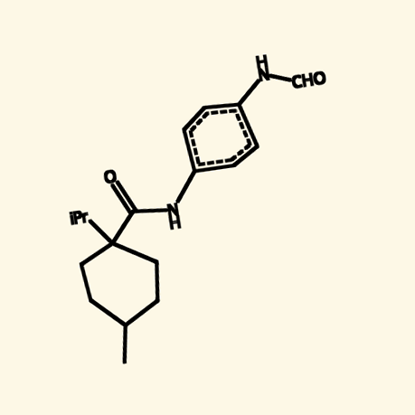 CC1CCC(C(=O)Nc2ccc(NC=O)cc2)(C(C)C)CC1